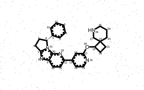 c1ccc([C@H]2CCc3nc4ccc(-c5ccnc(OC6CCC67CCCNC7)c5)nc4n32)cc1